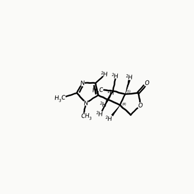 [2H]c1nc(C)n(C)c1C([2H])([2H])[C@@]1([2H])COC(=O)[C@@]1([2H])C([2H])([2H])C